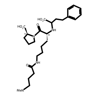 CNCCCC(=O)NCCCC[C@@H](NC(CCc1ccccc1)C(=O)O)C(=O)N1CCC[C@H]1C(=O)O